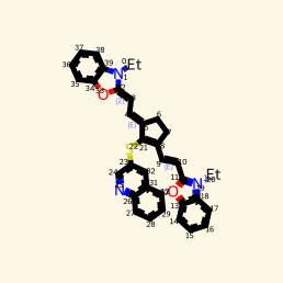 CCN1/C(=C/C=C2\CCC(/C=C/c3oc4ccccc4[n+]3CC)=C2Sc2cnc3ccccc3c2)Oc2ccccc21